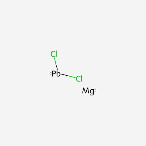 [Cl][Pb][Cl].[Mg]